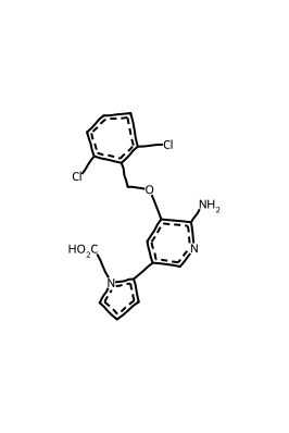 Nc1ncc(-c2cccn2C(=O)O)cc1OCc1c(Cl)cccc1Cl